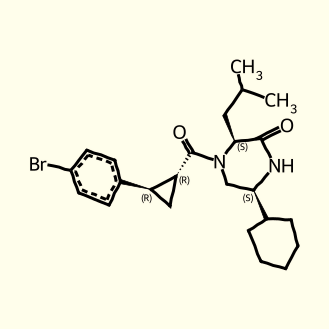 CC(C)C[C@H]1C(=O)N[C@@H](C2CCCCC2)CN1C(=O)[C@@H]1C[C@H]1c1ccc(Br)cc1